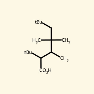 CCCCC(C(=O)O)C(C)C(C)(C)CC(C)(C)C